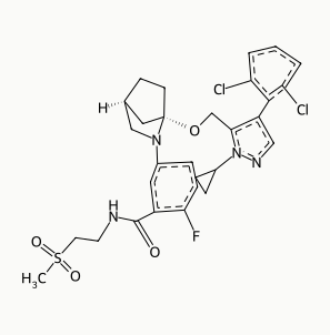 CS(=O)(=O)CCNC(=O)c1cc(N2C[C@H]3CC[C@]2(OCc2c(-c4c(Cl)cccc4Cl)cnn2C2CC2)C3)ccc1F